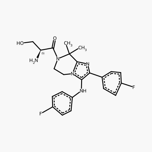 CC1(C)c2nc(-c3ccc(F)cc3)c(Nc3ccc(F)cc3)n2CCN1C(=O)[C@@H](N)CO